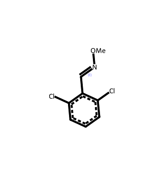 CO/N=C/c1c(Cl)cccc1Cl